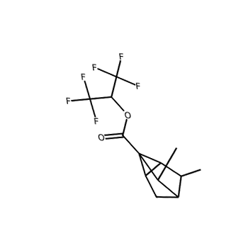 CC1C2CC3C1C3(C(=O)OC(C(F)(F)F)C(F)(F)F)C2C